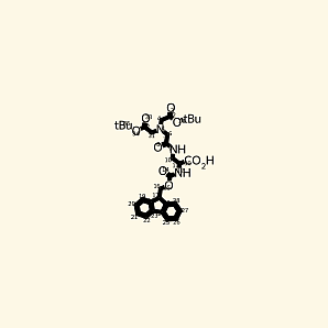 CC(C)(C)OC(=O)CN(CC(=O)NCC(NC(=O)OCC1c2ccccc2-c2ccccc21)C(=O)O)CC(=O)OC(C)(C)C